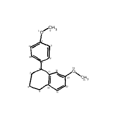 COc1ccc(C2CCCc3ccc(OC)cc32)cc1